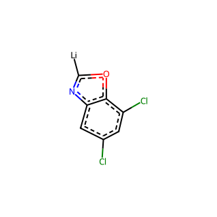 [Li][c]1nc2cc(Cl)cc(Cl)c2o1